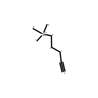 C#CCCC[Si](C)(C)C